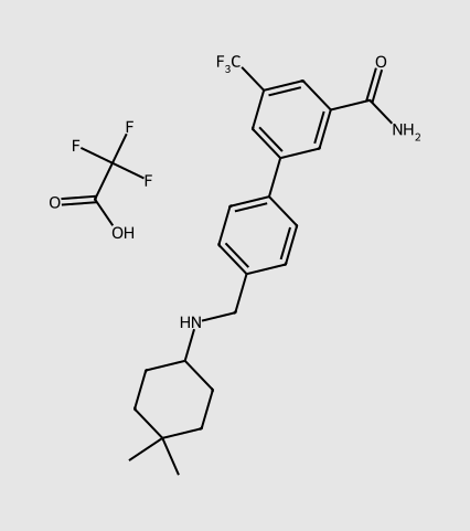 CC1(C)CCC(NCc2ccc(-c3cc(C(N)=O)cc(C(F)(F)F)c3)cc2)CC1.O=C(O)C(F)(F)F